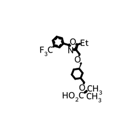 CCc1oc(-c2cccc(C(F)(F)F)c2)nc1COC[C@@H]1CCCC(COC(C)(C)C(=O)O)C1